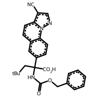 CC(C)(C)CC(NC(=O)OCc1ccccc1)(C(=O)O)c1ccc2c(ccc3c(C#N)cnn32)c1